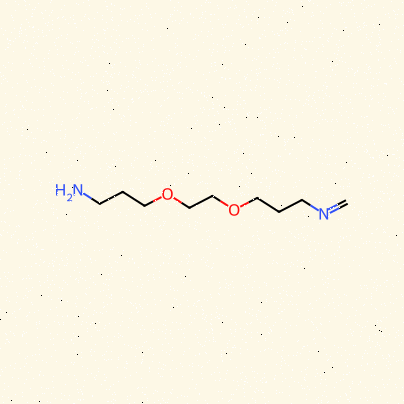 C=NCCCOCCOCCCN